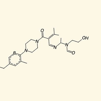 CCc1cbc(N2CCN(C(=O)C(/C=N\C(C)N(C=O)CCO)=C(C)C)CC2)c(C)c1